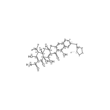 C[C@H]1CCCN1Cc1ccc2cc3c(c(O)c2c1)C(=O)C1=C(O)[C@]2(O)C(=O)C(C(N)=O)=C(O)[C@@H](N(C)C)[C@@H]2C[C@@H]1C3